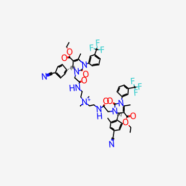 CCOC(=O)C1=C(C)N(c2cccc(C(F)(F)F)c2)C(=O)N(CC(=O)NCC[N+](C)(C)CCNC(=O)CN2C(=O)N(c3cccc(C(F)(F)F)c3)C(C)=C(C(=O)OCC)[C@H]2c2ccc(C#N)cc2C)[C@@H]1c1ccc(C#N)cc1